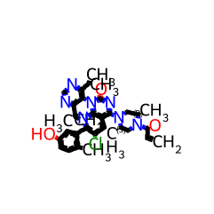 C=CC(=O)N1C[C@H](C)N(c2nc(=O)n(-c3c(C(C)C)ncnc3C(C)C)c3nc(-c4cc(O)ccc4C)c(Cl)cc23)C[C@H]1C